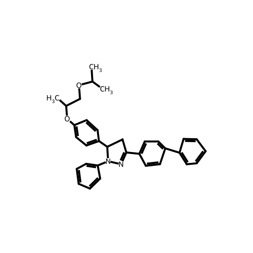 CC(C)OCC(C)Oc1ccc(C2CC(c3ccc(-c4ccccc4)cc3)=NN2c2ccccc2)cc1